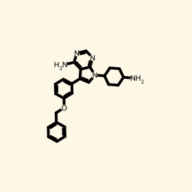 Nc1ncnc2c1c(-c1cccc(OCc3ccccc3)c1)cn2C1CCC(N)CC1